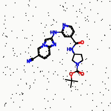 CC(C)(C)OC(=O)N1CC[C@H](NC(=O)c2ccnc(Nc3cn4cc(C#N)ccc4n3)c2)C1